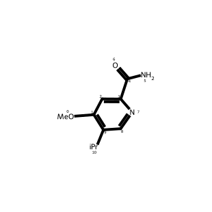 COc1cc(C(N)=O)ncc1C(C)C